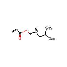 C=CC(=O)OC[SiH2]CC(OC)OC